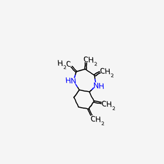 C=C1CCC2NC(=C)C(=C)C(=C)NC2C1=C